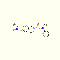 CCN(C)Cc1ccc2c(c1)CCN(C(=O)c1cc3ccccc3n1C)C2